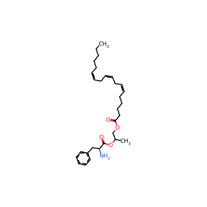 CCCCC/C=C\C/C=C\C/C=C\CCCCC(=O)OCC(C)OC(=O)[C@@H](N)Cc1ccccc1